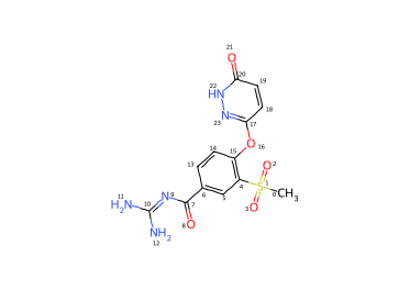 CS(=O)(=O)c1cc(C(=O)N=C(N)N)ccc1Oc1ccc(=O)[nH]n1